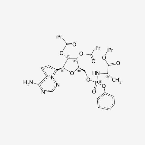 CC(C)OC(=O)[C@H](C)N[P@](=O)(OC[C@H]1O[C@@H](c2ccc3c(N)ncnn23)[C@H](OC(=O)C(C)C)[C@@H]1OC(=O)C(C)C)Oc1ccccc1